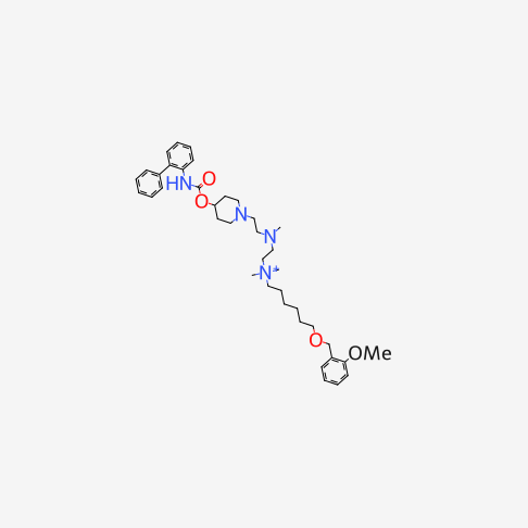 COc1ccccc1COCCCCCC[N+](C)(C)CCN(C)CCN1CCC(OC(=O)Nc2ccccc2-c2ccccc2)CC1